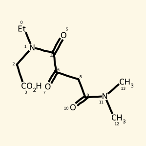 CCN(CC(=O)O)C(=O)C(=O)CC(=O)N(C)C